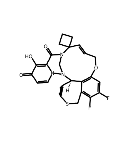 O=C1c2c(O)c(=O)ccn2N2CN1C1(/C=C/COc3cc(F)c(F)c4c3[C@H]2c2ccccc2SC4)CCC1